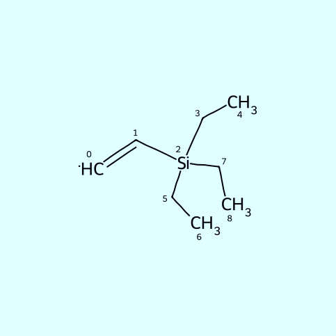 [CH]=C[Si](CC)(CC)CC